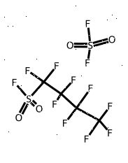 O=S(=O)(F)C(F)(F)C(F)(F)C(F)(F)C(F)(F)F.O=S(=O)(F)F